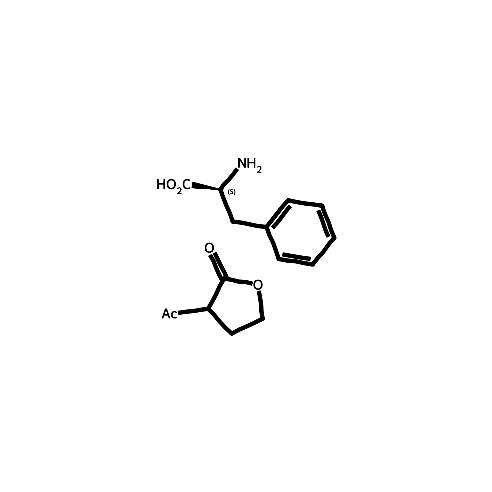 CC(=O)C1CCOC1=O.N[C@@H](Cc1ccccc1)C(=O)O